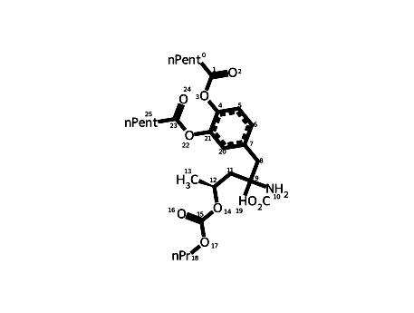 CCCCCC(=O)Oc1ccc(CC(N)(C[C@H](C)OC(=O)OCCC)C(=O)O)cc1OC(=O)CCCCC